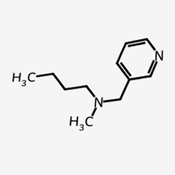 CCCCN(C)Cc1cccnc1